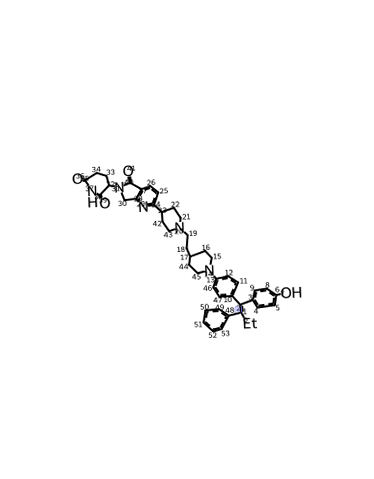 CC/C(=C(\c1ccc(O)cc1)c1ccc(N2CCC(CCN3CCC(c4ccc5c(n4)CN(C4CCC(=O)NC4=O)C5=O)CC3)CC2)cc1)c1ccccc1